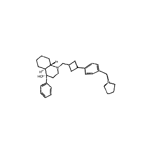 O[C@@]1(c2ccccc2)CCN(CC2CC(c3ccc(CN4CCCC4)cc3)C2)[C@H]2CCCC[C@@H]21